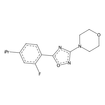 CC(C)c1ccc(-c2nc(N3CCOCC3)no2)c(F)c1